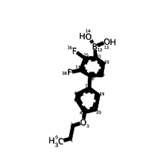 CCCOc1ccc(-c2ccc(B(O)O)c(F)c2F)cc1